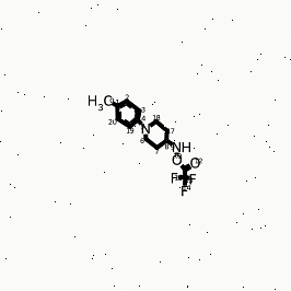 Cc1ccc(N2CCC(NOC(=O)C(F)(F)F)CC2)cc1